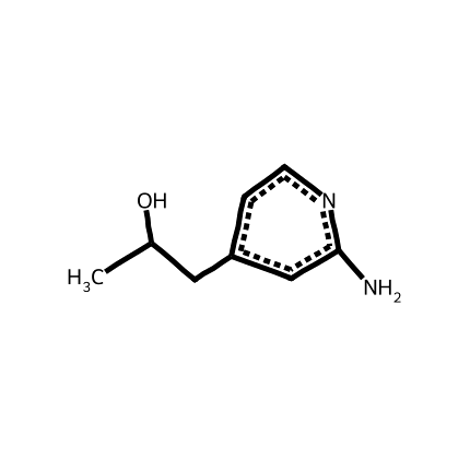 CC(O)Cc1ccnc(N)c1